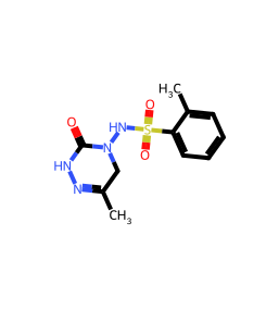 CC1=NNC(=O)N(NS(=O)(=O)c2ccccc2C)C1